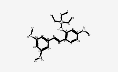 CC[Si](CC)(CC)Oc1cc(OC)ccc1/C=C/c1cc(OC)cc(OC)c1